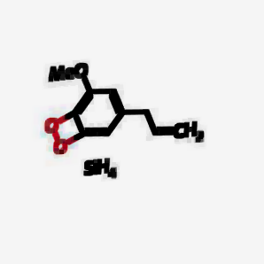 C=CCc1cc(OC)c2ooc2c1.[SiH4]